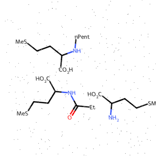 CCC(=O)NC(CCSC)C(=O)O.CCCCCNC(CCSC)C(=O)O.CSCCC(N)C(=O)O